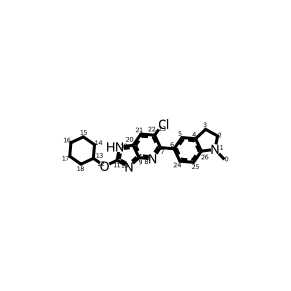 CN1CCc2cc(-c3nc4nc(OC5CCCCC5)[nH]c4cc3Cl)ccc21